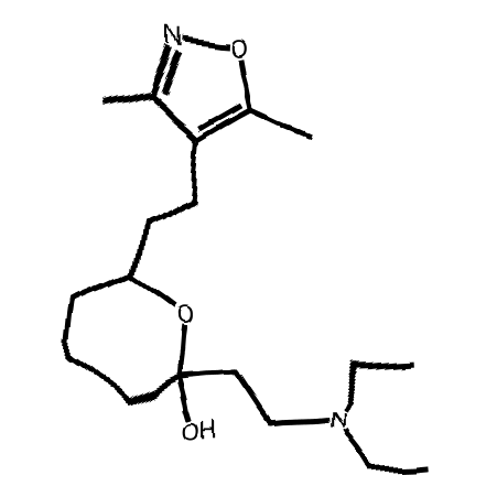 CCN(CC)CCC1(O)CCCC(CCc2c(C)noc2C)O1